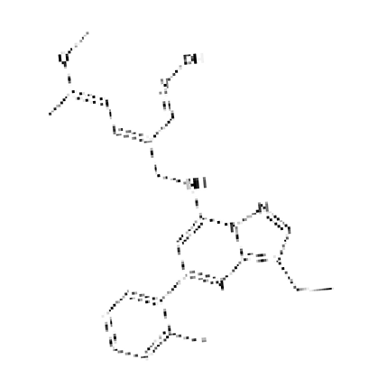 CCc1cnn2c(NCC(=C/C=C(\C)OC)/C=N/O)cc(-c3ccccc3F)nc12